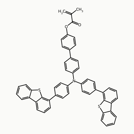 C=C(C)C(=O)Oc1ccc(-c2ccc(N(c3ccc(-c4cccc5c4sc4ccccc45)cc3)c3ccc(-c4cccc5c4sc4ccccc45)cc3)cc2)cc1